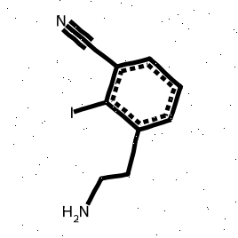 N#Cc1cccc(CCN)c1I